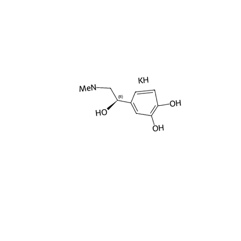 CNC[C@H](O)c1ccc(O)c(O)c1.[KH]